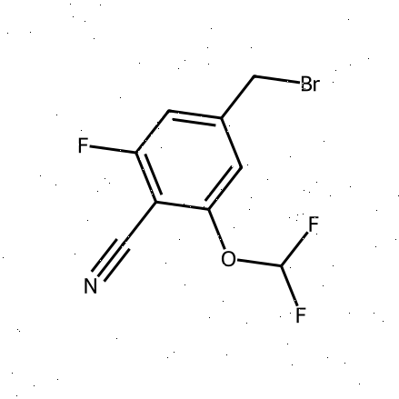 N#Cc1c(F)cc(CBr)cc1OC(F)F